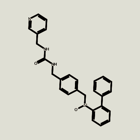 O=C(NCc1ccc(C[S+]([O-])c2ccccc2-c2ccccc2)cc1)NCc1cccnc1